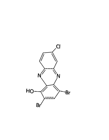 Oc1c(Br)cc(Br)c2nc3cc(Cl)ccc3nc12